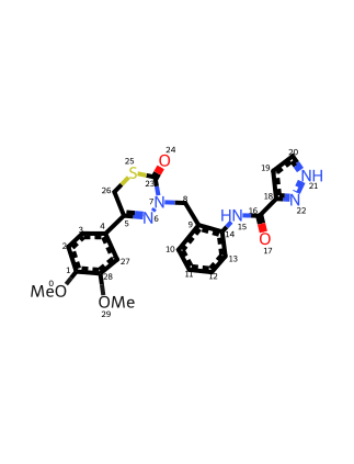 COc1ccc(C2=NN(Cc3ccccc3NC(=O)c3cc[nH]n3)C(=O)SC2)cc1OC